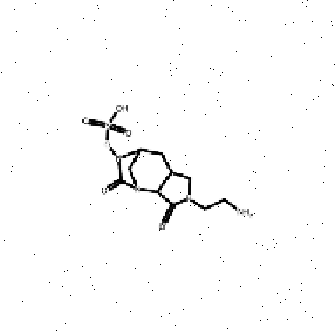 NCCN1CC2CC3CN(C(=O)N3OS(=O)(=O)O)C2C1=O